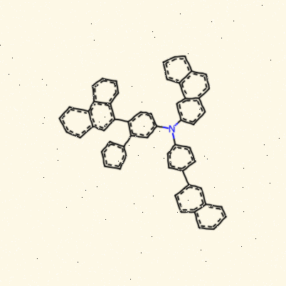 c1ccc(-c2cc(N(c3ccc(-c4ccc5ccccc5c4)cc3)c3ccc4ccc5ccccc5c4c3)ccc2-c2cc3ccccc3c3ccccc23)cc1